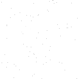 C=C[C@H]1C[C@@H](C)CC[C@]1(C)C1CC[C@@]2(C)C(CCC23OCCO3)C1OC(C)=O